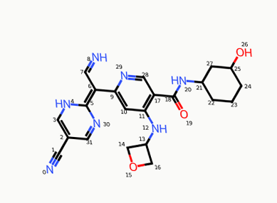 N#CC1=CN/C(=C(\C=N)c2cc(NC3COC3)c(C(=O)NC3CCCC(O)C3)cn2)N=C1